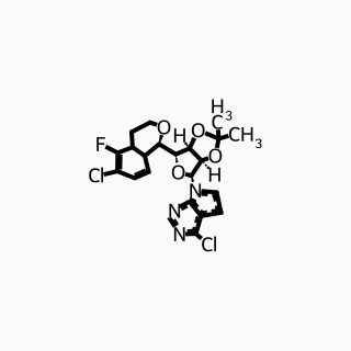 CC1(C)O[C@H]2[C@@H](O1)[C@H](n1ccc3c(Cl)ncnc31)O[C@@H]2[C@@H]1OCCC2C(F)=C(Cl)C=CC21